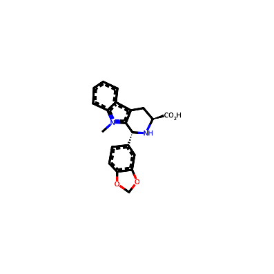 Cn1c2c(c3ccccc31)C[C@@H](C(=O)O)N[C@@H]2c1ccc2c(c1)OCO2